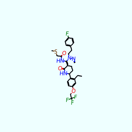 C=NN(CCc1ccc(F)cc1)/C(NC(=O)CSC)=C1\CCC(c2ccc(OCC(F)(F)F)cc2CC)NC1=O